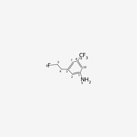 Nc1cc(CCF)cc(C(F)(F)F)c1